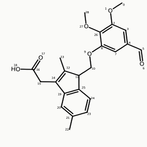 COc1cc(C=O)cc(OCC2C(C)=C(CC(=O)O)c3cc(C)ccc32)c1OC